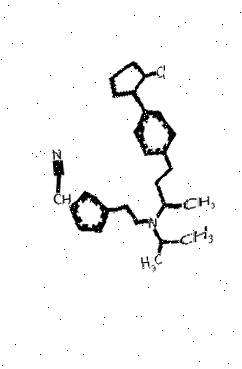 CC#N.CC(C)N(CCc1ccccc1)C(C)CCc1ccc(C2CCCC2Cl)cc1